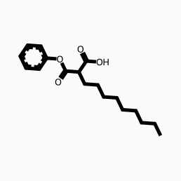 CCCCCCCCCC(C(=O)O)C(=O)Oc1ccccc1